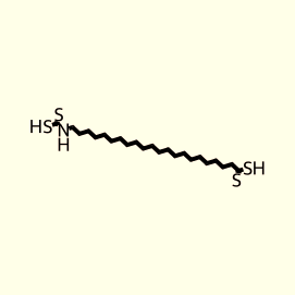 S=C(S)CCCCCCCCCCCCCCCCCCCCCNC(=S)S